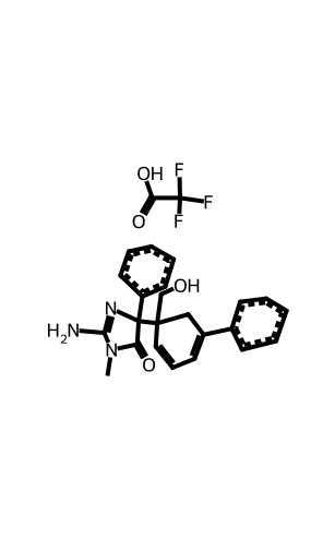 CN1C(=O)C(c2ccccc2)(C2(CO)C=CC=C(c3ccccc3)C2)N=C1N.O=C(O)C(F)(F)F